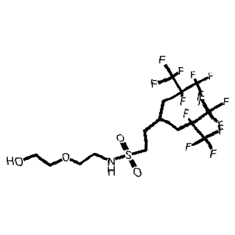 O=S(=O)(CCC(CC(F)(C(F)(F)F)C(F)(F)F)CC(F)(C(F)(F)F)C(F)(F)F)NCCOCCO